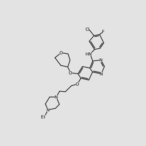 CCN1CCN(CCCOc2cc3ncnc(Nc4ccc(F)c(Cl)c4)c3cc2OC2CCOCC2)CC1